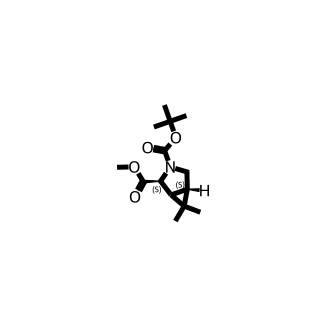 COC(=O)[C@@H]1C2[C@H](CN1C(=O)OC(C)(C)C)C2(C)C